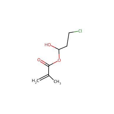 C=C(C)C(=O)OC(O)CCCl